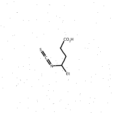 CCC(CCC(=O)O)N=C=S